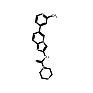 Cc1cc(-c2ccc3nc(NC(=O)N4CCOCC4)cn3c2)ccn1